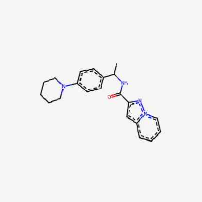 CC(NC(=O)c1cc2ccccn2n1)c1ccc(N2CCCCC2)cc1